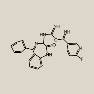 N=C(NC1N=C(c2ccccc2)c2ccccc2NC1=O)OC(=N)c1ccc(F)nc1